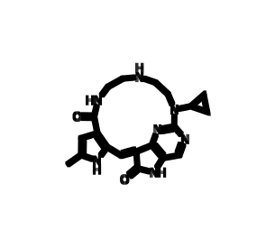 Cc1cc2c([nH]1)/C=C1\C(=O)Nc3cnc(nc31)N(C1CC1)CCNCCNC2=O